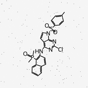 Cc1ccc(S(=O)(=O)n2ccc3c(Nc4ccc5ccccc5c4P(C)(C)=O)nc(Cl)nc32)cc1